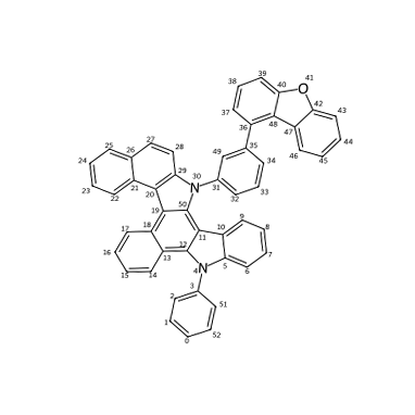 c1ccc(-n2c3ccccc3c3c2c2ccccc2c2c4c5ccccc5ccc4n(-c4cccc(-c5cccc6oc7ccccc7c56)c4)c23)cc1